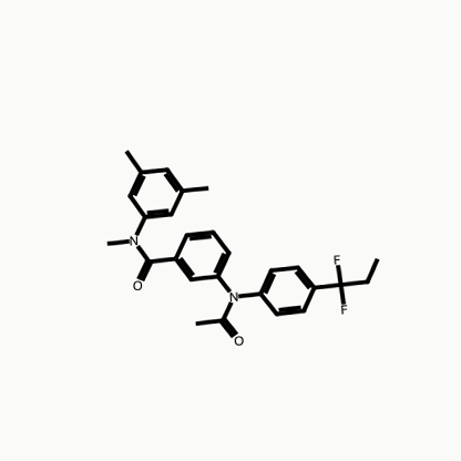 CCC(F)(F)c1ccc(N(C(C)=O)c2cccc(C(=O)N(C)c3cc(C)cc(C)c3)c2)cc1